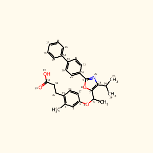 Cc1cc(OC(C)c2oc(-c3ccc(-c4ccccc4)cc3)nc2C(C)C)ccc1CCC(=O)O